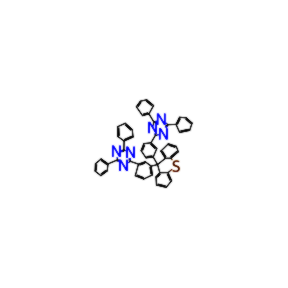 c1ccc(-c2nc(-c3ccccc3)nc(-c3cccc(C4(c5cccc(-c6nc(-c7ccccc7)nc(-c7ccccc7)n6)c5)c5ccccc5Sc5ccccc54)c3)n2)cc1